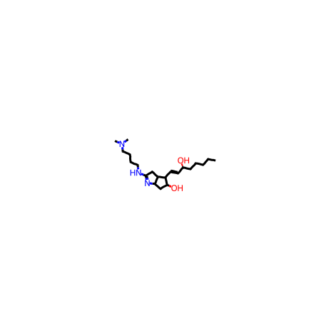 CCCCC[C@H](O)C=CC1C(O)CC2N=C(NCCCCN(C)C)CC21